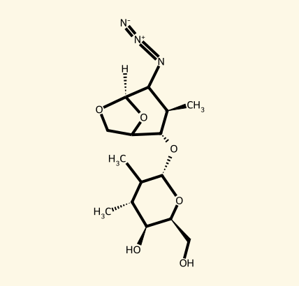 CC1[C@H](O[C@@H]2C3CO[C@H](O3)C(N=[N+]=[N-])[C@H]2C)O[C@@H](CO)[C@@H](O)[C@@H]1C